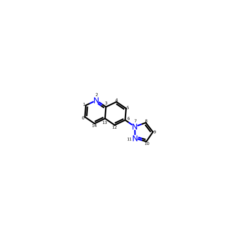 c1cnc2ccc(-n3cccn3)cc2c1